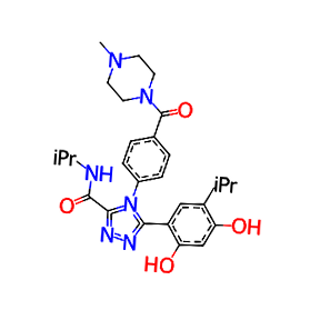 CC(C)NC(=O)c1nnc(-c2cc(C(C)C)c(O)cc2O)n1-c1ccc(C(=O)N2CCN(C)CC2)cc1